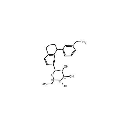 CCc1cccc(C2CCOc3ccc(C4O[C@H](CO)[C@@H](O)[C@H](O)C4O)cc32)c1